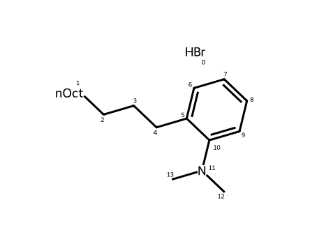 Br.CCCCCCCCCCCc1ccccc1N(C)C